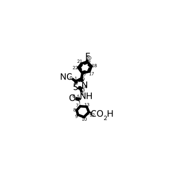 N#Cc1sc(NC(=O)[C@H]2CCC[C@H](C(=O)O)C2)nc1-c1ccc(F)cc1